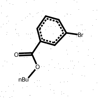 CCCCOC(=O)c1cccc(Br)c1